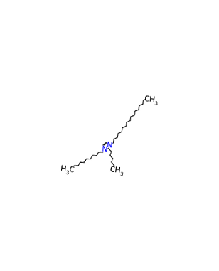 CCCCCCCCCCCCCCCCCN1C=CN(CCCCCCCCCCC)C1CCCCCC